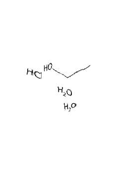 CCO.Cl.O.O